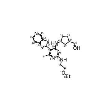 CCOCCNc1nc(C)c(-c2nc3cnccc3s2)c(N[C@H]2CC[C@@H](CO)C2)n1